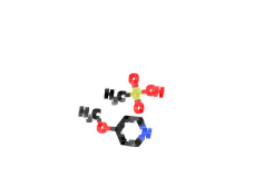 COc1ccncc1.CS(=O)(=O)O